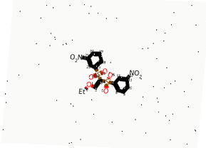 CCOC=C(S(=O)(=O)c1cccc([N+](=O)[O-])c1)S(=O)(=O)c1cccc([N+](=O)[O-])c1